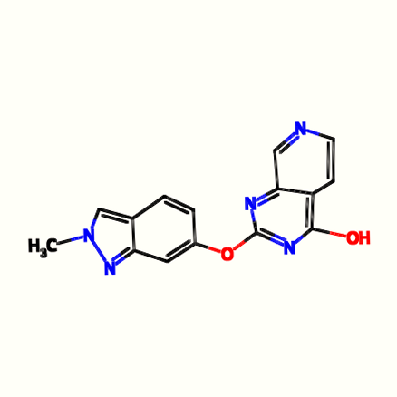 Cn1cc2ccc(Oc3nc(O)c4ccncc4n3)cc2n1